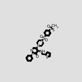 CS(=O)(=S)c1ccc(S(=O)(=O)N2CCN(c3cnn(-c4ccccc4)c(=O)c3NCc3cccs3)CC2)cc1